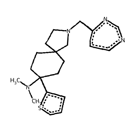 CN(C)C1(c2cccs2)CCC2(CCN(Cc3ccncn3)C2)CC1